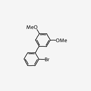 COc1cc(OC)cc(-c2ccccc2Br)c1